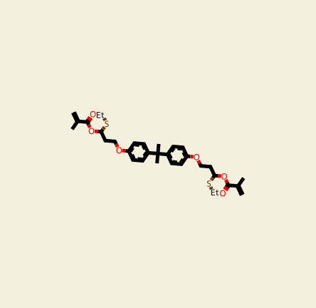 C=C(C)C(=O)OC(CCOc1ccc(C(C)(C)c2ccc(OCCC(OC(=O)C(=C)C)SCC)cc2)cc1)SCC